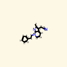 Cc1nc2n(CCc3ccccc3)cccc-2c1CC#N